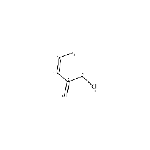 C=C(/C=C\C)CCl